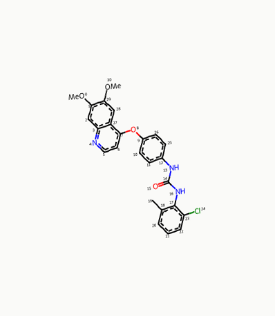 COc1cc2nccc(Oc3ccc(NC(=O)Nc4c(C)cccc4Cl)cc3)c2cc1OC